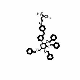 CN(C)CCOc1ccc(Cc2cccc([C@@H]3S[C@H](COCc4ccccc4)[C@@H](OCc4ccccc4)[C@H](OCc4ccccc4)[C@H]3OCc3ccccc3)c2)cc1